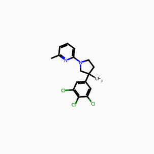 Cc1cccc(N2CCC(c3cc(Cl)c(Cl)c(Cl)c3)(C(F)(F)F)C2)n1